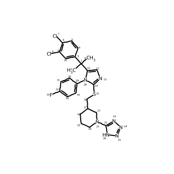 CC(C)(c1ccc(Cl)c(Cl)c1)c1cnc(SCC2CCCN(c3nnn[nH]3)C2)n1-c1ccc(F)cc1